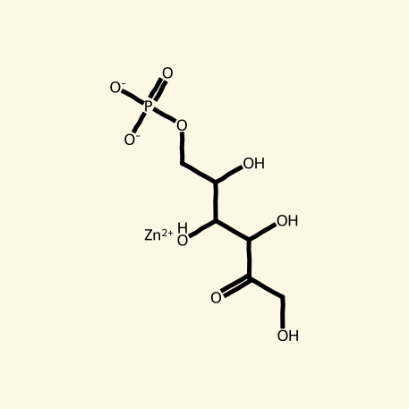 O=C(CO)C(O)C(O)C(O)COP(=O)([O-])[O-].[Zn+2]